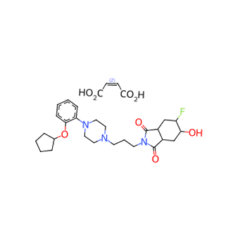 O=C(O)/C=C\C(=O)O.O=C1C2CC(O)C(F)CC2C(=O)N1CCCN1CCN(c2ccccc2OC2CCCC2)CC1